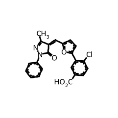 CC1=NN(c2ccccc2)C(=O)/C1=C\c1ccc(-c2cc(C(=O)O)ccc2Cl)o1